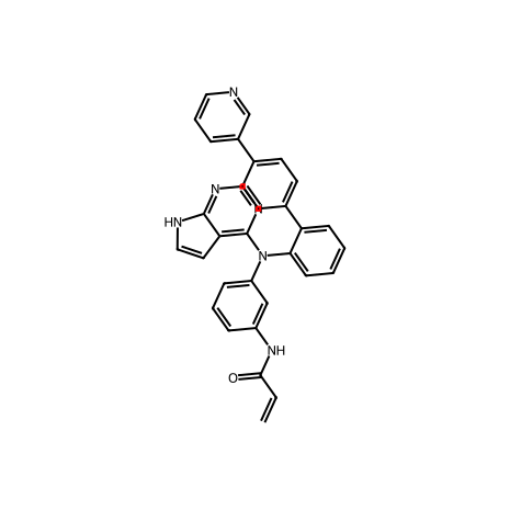 C=CC(=O)Nc1cccc(N(c2ccccc2-c2ccc(-c3cccnc3)cc2)c2ncnc3[nH]ccc23)c1